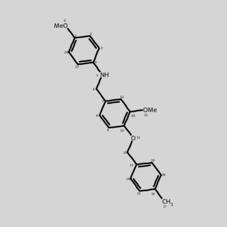 COc1ccc(NCc2ccc(OCc3ccc(C)cc3)c(OC)c2)cc1